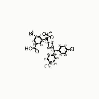 CS(=O)(=O)N(c1cc(Br)cc(C(=O)O)c1)C1CN(C(c2ccc(Cl)cc2)c2ccc(Cl)cc2)C1